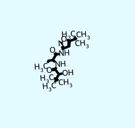 CCC(NC(=O)C(O)C(C)(C)C)C(=O)Nc1cc(C(C)(C)C)on1